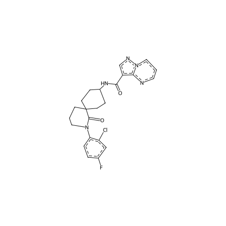 O=C(NC1CCC2(CCCN(c3ccc(F)cc3Cl)C2=O)CC1)c1cnn2cccnc12